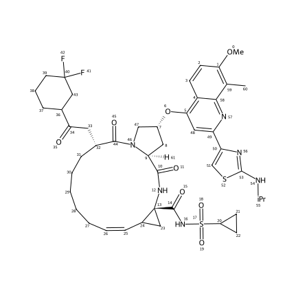 COc1ccc2c(O[C@@H]3C[C@H]4C(=O)N[C@]5(C(=O)NS(=O)(=O)C6CC6)CC5C=CCCCCC[C@H](CC(=O)C5CCCC(F)(F)C5)C(=O)N4C3)cc(-c3csc(NC(C)C)n3)nc2c1C